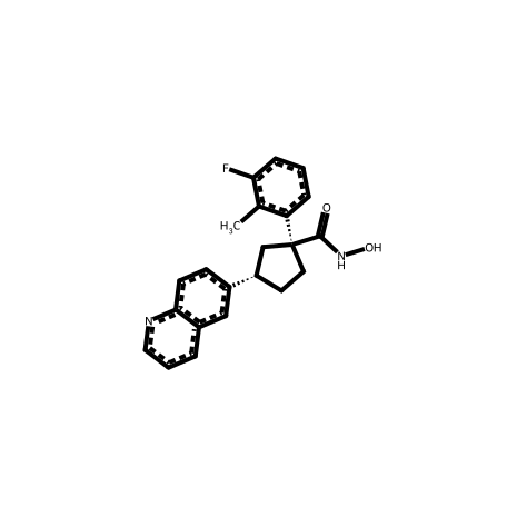 Cc1c(F)cccc1[C@]1(C(=O)NO)CC[C@H](c2ccc3ncccc3c2)C1